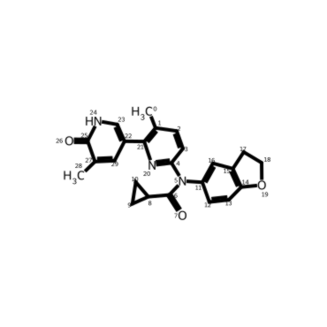 Cc1ccc(N(C(=O)C2CC2)c2ccc3c(c2)CCO3)nc1-c1c[nH]c(=O)c(C)c1